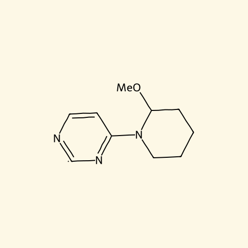 COC1CCCCN1c1ccn[c]n1